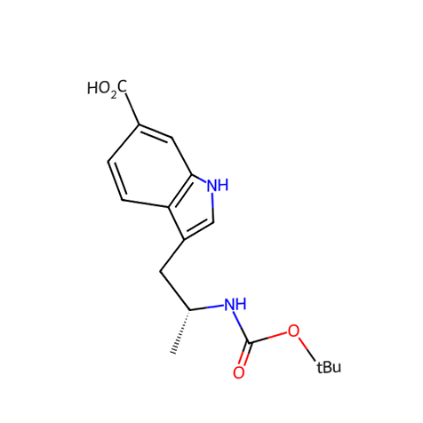 C[C@H](Cc1c[nH]c2cc(C(=O)O)ccc12)NC(=O)OC(C)(C)C